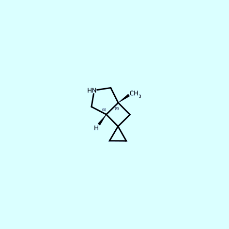 C[C@]12CNC[C@H]1C1(CC1)C2